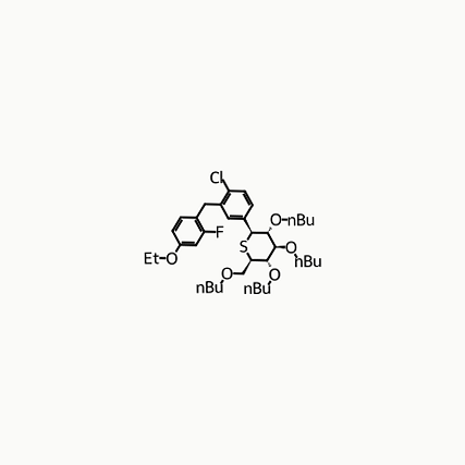 CCCCOC[C@H]1S[C@@H](c2ccc(Cl)c(Cc3ccc(OCC)cc3F)c2)[C@H](OCCCC)[C@@H](OCCCC)[C@@H]1OCCCC